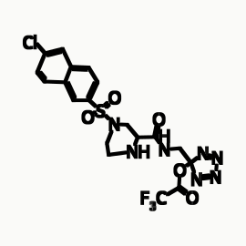 O=C(NCC1(OC(=O)C(F)(F)F)N=NN=N1)C1CN(S(=O)(=O)c2ccc3cc(Cl)ccc3c2)CCN1